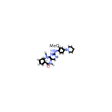 COc1cc(N2CCCCC2)ccc1Nc1ncc2c(n1)N(C)c1ccccc1C(=O)N2C